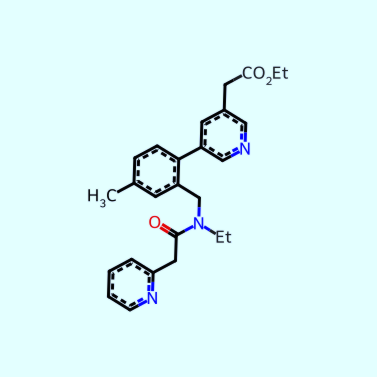 CCOC(=O)Cc1cncc(-c2ccc(C)cc2CN(CC)C(=O)Cc2ccccn2)c1